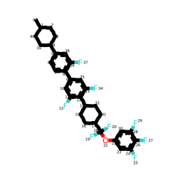 CC1CCC(c2ccc(-c3cc(F)c(C4CCC(C(F)(F)Oc5cc(F)c(F)c(F)c5)CC4)c(F)c3)c(F)c2)CC1